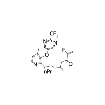 C=C(CCC(CCC)c1nccc(C)c1Oc1cnc(C(F)(F)F)nc1)CC(=O)C(=C)F